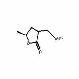 CCCCCCC1C[C@H](C)OC1=O